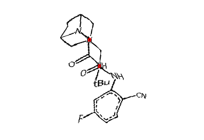 CC(C)(C)NC(=O)CN1C2CC1CN(CC(=O)Nc1cc(F)ccc1C#N)C2